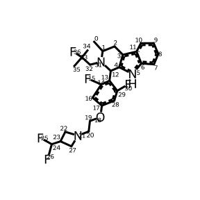 CC1Cc2c([nH]c3ccccc23)C(c2c(F)cc(OCCN3CC(C(F)F)C3)cc2F)N1CC(C)(C)F